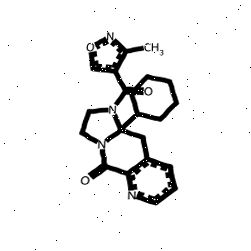 Cc1nocc1C(=O)N1CCN2C(=O)c3ncccc3CC12C1CCCCC1